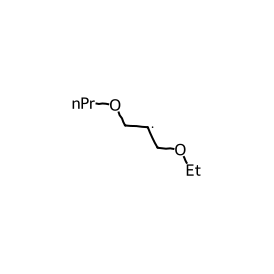 CCCOC[CH]COCC